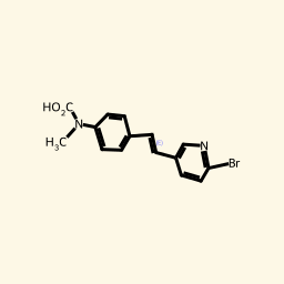 CN(C(=O)O)c1ccc(/C=C/c2ccc(Br)nc2)cc1